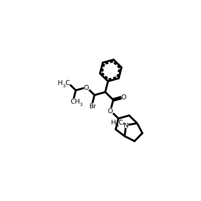 CC(C)OC(Br)C(C(=O)OC1CC2CCC(C1)N2C)c1ccccc1